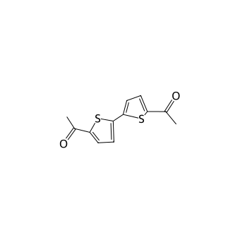 CC(=O)c1ccc(-c2ccc(C(C)=O)s2)s1